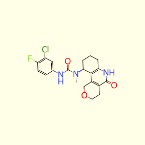 CN(C(=O)Nc1ccc(F)c(Cl)c1)[C@H]1CCCc2[nH]c(=O)c3c(c21)COCC3